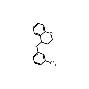 FC(F)(F)c1cccc([CH]C2CCOc3ccccc32)c1